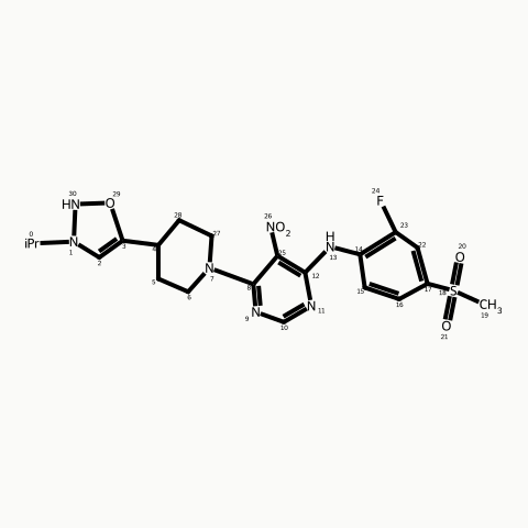 CC(C)N1C=C(C2CCN(c3ncnc(Nc4ccc(S(C)(=O)=O)cc4F)c3[N+](=O)[O-])CC2)ON1